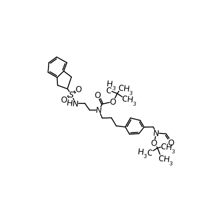 CC(C)(C)OC(=O)N(CCCc1ccc(CN(C=O)OC(C)(C)C)cc1)CCNS(=O)(=O)C1Cc2ccccc2C1